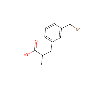 CC(Cc1cccc(CBr)c1)C(=O)O